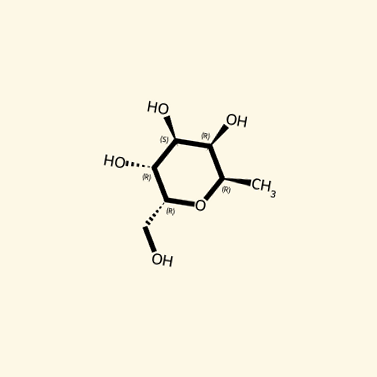 C[C@H]1O[C@H](CO)[C@H](O)[C@@H](O)[C@H]1O